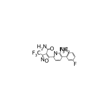 NC(=O)c1c(C(F)(F)F)noc1-c1ccc(-c2cc(F)ccc2C(F)(F)F)c(N)n1